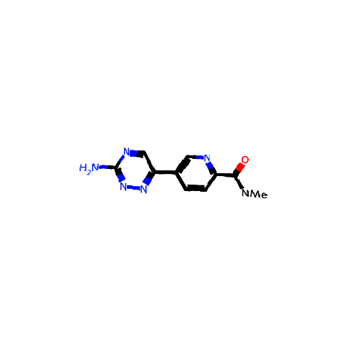 CNC(=O)c1ccc(-c2cnc(N)nn2)cn1